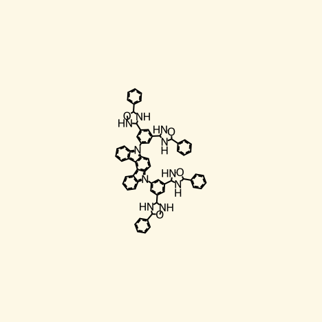 c1ccc(C2NC(c3cc(C4NOC(c5ccccc5)N4)cc(-n4c5ccccc5c5c6c7ccccc7n(-c7cc(C8NOC(c9ccccc9)N8)cc(C8NOC(c9ccccc9)N8)c7)c6ccc54)c3)NO2)cc1